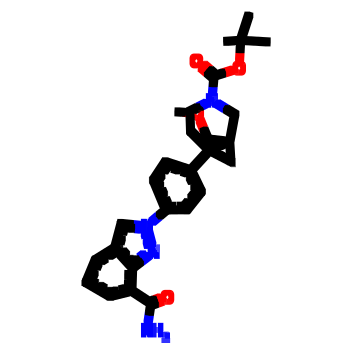 COCC12CN(C(=O)OC(C)(C)C)CCC1(c1ccc(-n3cc4cccc(C(N)=O)c4n3)cc1)C2